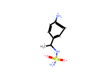 CC(NS(N)(=O)=O)c1ccc(N)cc1